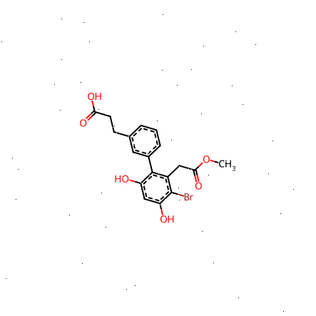 COC(=O)Cc1c(Br)c(O)cc(O)c1-c1cccc(CCC(=O)O)c1